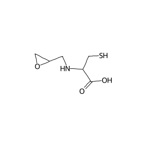 O=C(O)C(CS)NCC1CO1